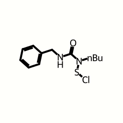 CCCCN(SCl)C(=O)NCc1ccccc1